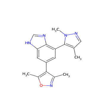 Cc1cnn(C)c1-c1cc(-c2c(C)noc2C)cc2[nH]cnc12